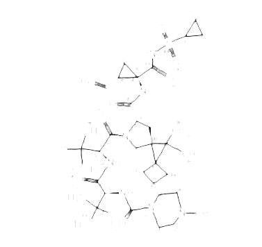 C=C[C@@H]1C[C@]1(NC(=O)[C@@H]1C[C@@]2(CN1C(=O)[C@@H](NC(=O)[C@@H](NC(=O)N1CCN(C)CC1)C(C)(C)C)C(C)(C)C)C(C)(C)C21CCC1)C(=O)NS(=O)(=O)C1CC1